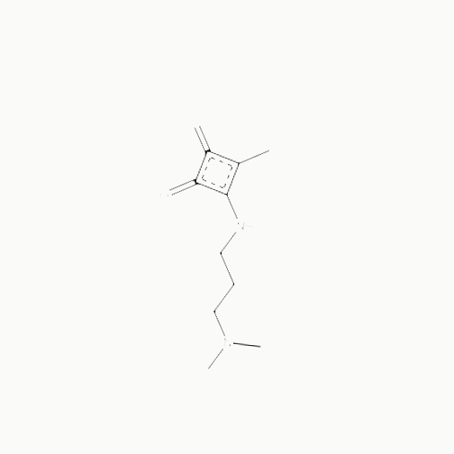 Cc1c(NCCCN(C)C)c(=O)c1=S